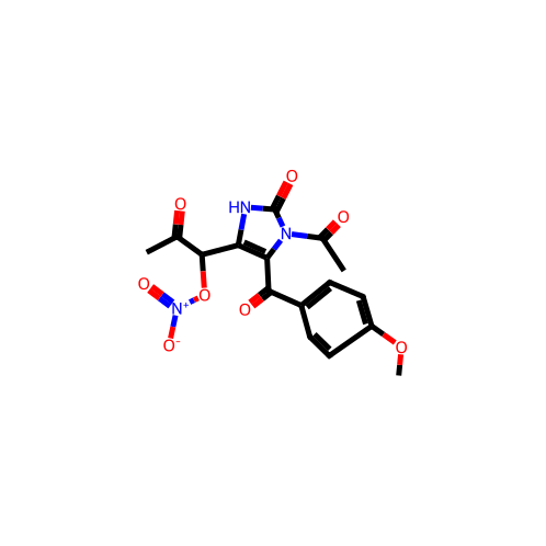 COc1ccc(C(=O)c2c(C(O[N+](=O)[O-])C(C)=O)[nH]c(=O)n2C(C)=O)cc1